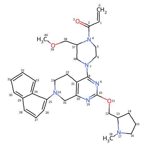 C=CC(=O)N1CCN(c2nc(OCC3CCCN3C)nc3c2CCN(c2cccc4ccccc24)C3)CC1COC